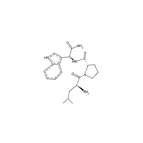 CC(C)C[C@H](N)C(=O)N1CCC[C@H]1C(=O)N[C@H](C(N)=O)c1c[nH]c2ccccc12